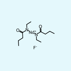 CCCC(=O)[N](CC)[Nd+][N](CC)C(=O)CCC.[F-]